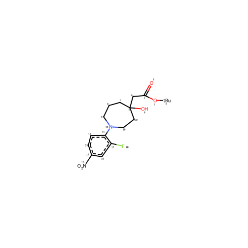 CC(C)(C)OC(=O)CC1(O)CCCN(c2ccc([N+](=O)[O-])cc2F)CC1